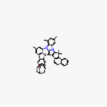 Cc1cc2c3c(c1)-n1c4c(C)cc(C)cc4n4c5c(c(c14)B3c1cc3c(cc1-2)C1CC2CC(CC3C2)C1)-c1ccc2ccccc2c1C5(C)C